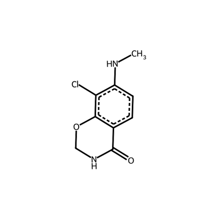 CNc1ccc2c(c1Cl)OCNC2=O